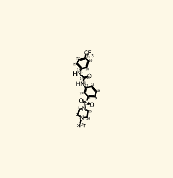 CC(C)N1CCN(S(=O)(=O)c2cccc(NC(=O)Nc3ccc(C(F)(F)F)cc3)c2)CC1